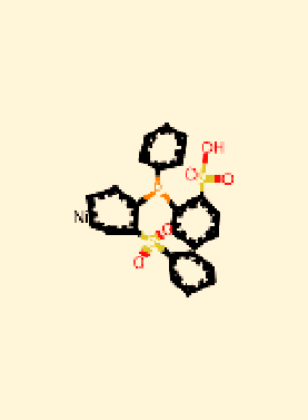 O=S(=O)(O)c1ccccc1P(c1ccccc1)c1ccccc1S(=O)(=O)c1ccccc1.[Ni]